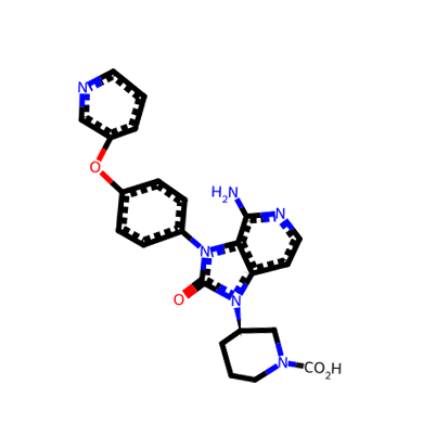 Nc1nccc2c1n(-c1ccc(Oc3cccnc3)cc1)c(=O)n2[C@@H]1CCCN(C(=O)O)C1